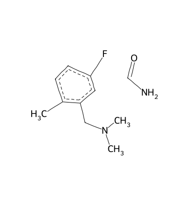 Cc1ccc(F)cc1CN(C)C.NC=O